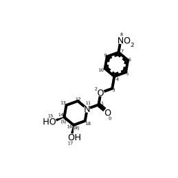 O=C(OCc1ccc([N+](=O)[O-])cc1)N1CC[C@H](O)[C@H](O)C1